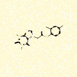 Cn1c(=O)c2c(ncn2CC(=O)Nc2ccc(Br)cc2Cl)n(C)c1=O